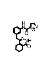 O=C(Nc1cccc(Cc2n[nH]c(=O)c3c2CCCC3)c1)c1ccno1